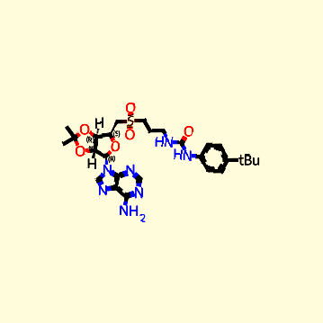 CC1(C)O[C@@H]2[C@@H](O1)[C@@H](CS(=O)(=O)CCCNC(=O)Nc1ccc(C(C)(C)C)cc1)O[C@H]2n1cnc2c(N)ncnc21